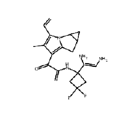 C=Cc1c(C)c(C(=O)C(=C)NC2(/C(N)=C/N)CC(F)(F)C2)c2n1C1CC1C2